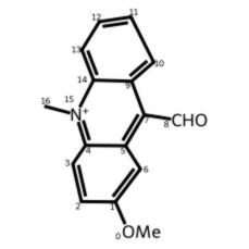 COc1ccc2c(c1)c(C=O)c1ccccc1[n+]2C